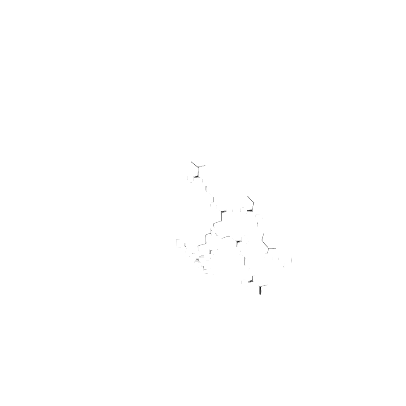 C=C(C)C(=O)OCCOC(=O)CCN(CCC[Si](OCC)(OCC)OCC)CCC(=O)OCCOC(=O)C(=C)C.C=CC(=O)OCCC=C(C)C(=O)O